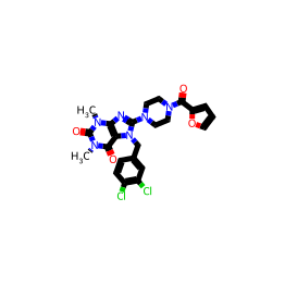 Cn1c(=O)c2c(nc(N3CCN(C(=O)c4ccco4)CC3)n2Cc2ccc(Cl)c(Cl)c2)n(C)c1=O